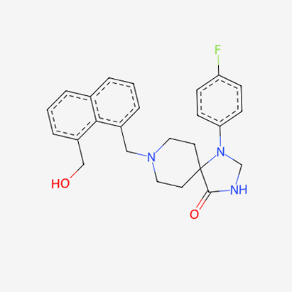 O=C1NCN(c2ccc(F)cc2)C12CCN(Cc1cccc3cccc(CO)c13)CC2